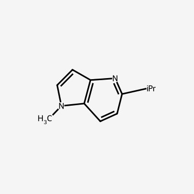 CC(C)c1ccc2c(ccn2C)n1